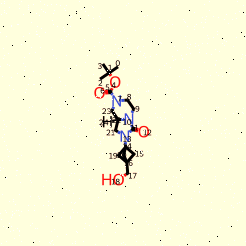 CC(C)(C)OC(=O)N1CCN2C(=O)N(C34CC(CO)(C3)C4)C[C@@H]2C1